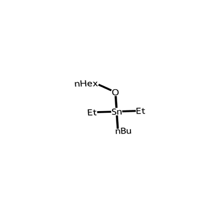 CCCCCC[O][Sn]([CH2]C)([CH2]C)[CH2]CCC